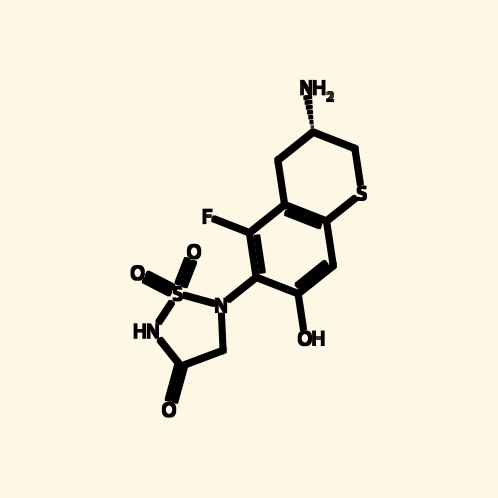 N[C@@H]1CSc2cc(O)c(N3CC(=O)NS3(=O)=O)c(F)c2C1